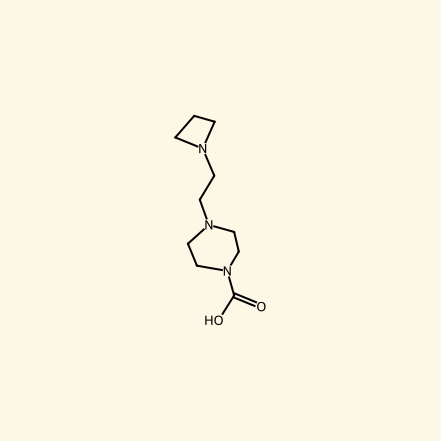 O=C(O)N1CCN(CCN2CCC2)CC1